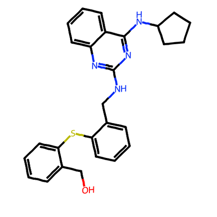 OCc1ccccc1Sc1ccccc1CNc1nc(NC2CCCC2)c2ccccc2n1